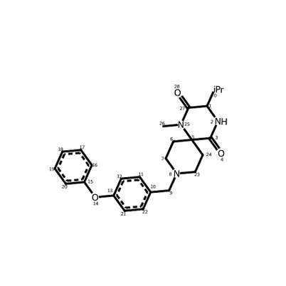 CC(C)C1NC(=O)C2(CCN(Cc3ccc(Oc4ccccc4)cc3)CC2)N(C)C1=O